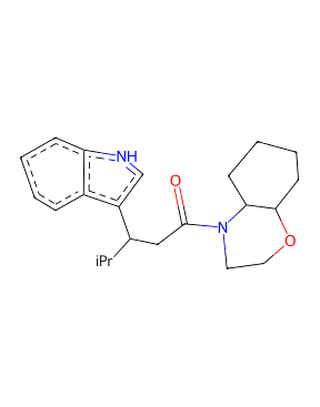 CC(C)C(CC(=O)N1CCOC2CCCCC21)c1c[nH]c2ccccc12